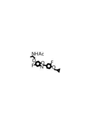 CC(=O)N[C@@H](C)COc1cc2oc(-c3ccc(OCC4CC4)c(F)c3)nc2cc1F